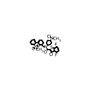 CN(Cl)[C@H]1CC[C@H](N(Cc2cccc(-c3ccccc3S(C)(=O)=O)c2)C(=O)c2sc3c(F)ccc(F)c3c2Cl)CC1